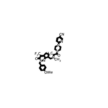 COc1ccc(Cn2nc3c(c(C(F)(F)F)c2=O)CCC3CN(C)[C@H](C)C(=O)N2CCN(c3ccc(C#N)cn3)CC2)cc1